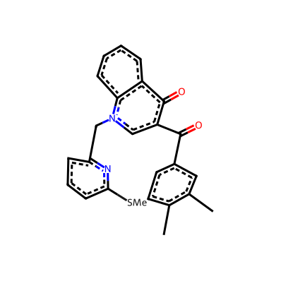 CSc1cccc(Cn2cc(C(=O)c3ccc(C)c(C)c3)c(=O)c3ccccc32)n1